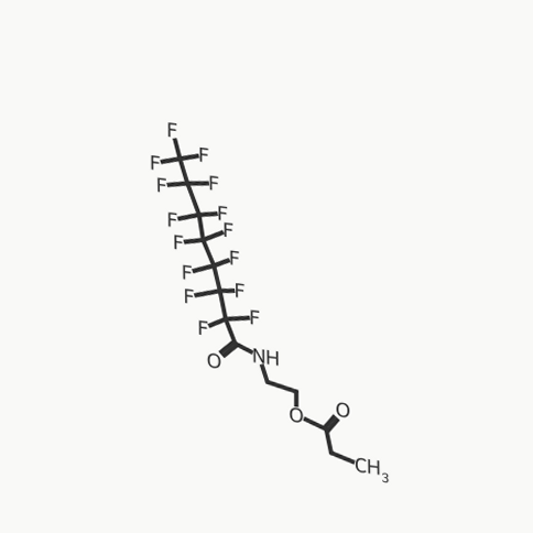 CCC(=O)OCCNC(=O)C(F)(F)C(F)(F)C(F)(F)C(F)(F)C(F)(F)C(F)(F)C(F)(F)F